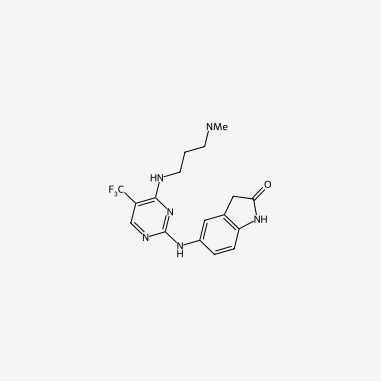 CNCCCNc1nc(Nc2ccc3c(c2)CC(=O)N3)ncc1C(F)(F)F